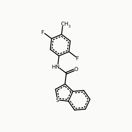 Cc1cc(F)c(NC(=O)c2csc3ccccc23)cc1F